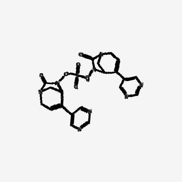 O=C1N2CC=C(c3cncnc3)C(C2)N1OS(=O)(=O)ON1C(=O)N2CC=C(c3cncnc3)C1C2